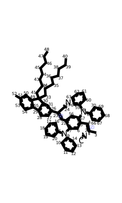 [C-]#[N+]/C(C)=C\c1cc(N(c2ccccc2)c2ccccc2)c(/C=C(\C#N)c2ccc3c(c2)C(CCCCCCCC)(CCCCCCCC)c2cc(C)ccc2-3)cc1N(c1ccccc1)c1ccccc1